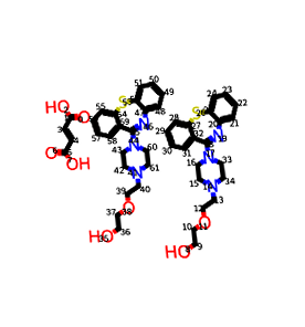 O=C(O)C=CC(=O)O.OCCOCCN1CCN(C2=Nc3ccccc3Sc3ccccc32)CC1.OCCOCCN1CCN(C2=Nc3ccccc3Sc3ccccc32)CC1